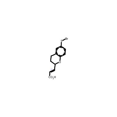 O=C(O)/C=C/C1CCc2cc(SBr)ccc2O1